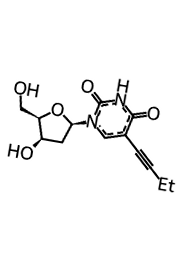 CCC#Cc1cn([C@H]2C[C@@H](O)[C@@H](CO)O2)c(=O)[nH]c1=O